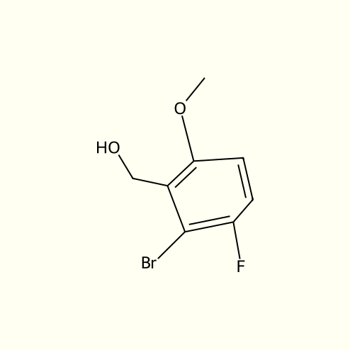 COc1ccc(F)c(Br)c1CO